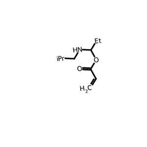 C=CC(=O)OC(CC)NCC(C)C